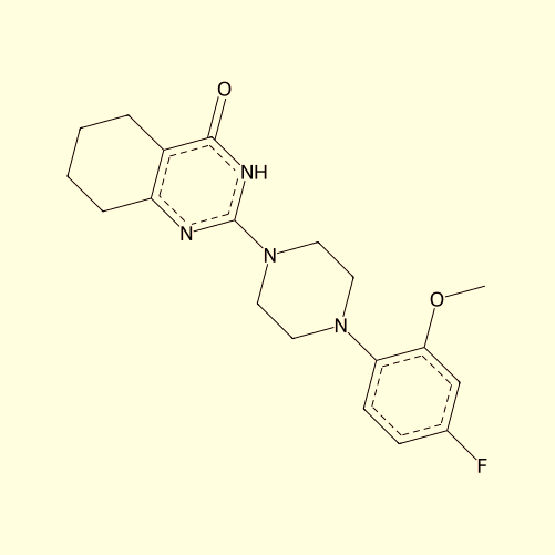 COc1cc(F)ccc1N1CCN(c2nc3c(c(=O)[nH]2)CCCC3)CC1